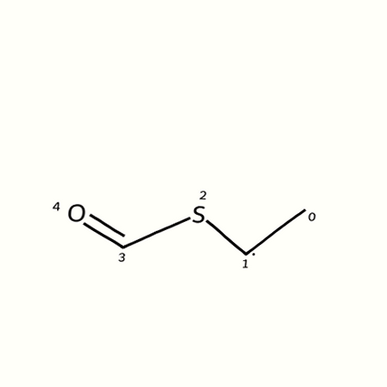 C[CH]SC=O